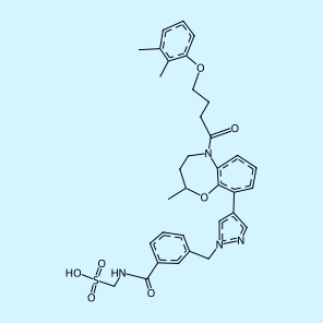 Cc1cccc(OCCCC(=O)N2CCC(C)Oc3c(-c4cnn(Cc5cccc(C(=O)NCS(=O)(=O)O)c5)c4)cccc32)c1C